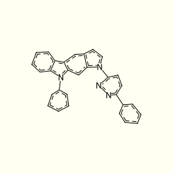 c1ccc(-c2ccc(-n3ccc4cc5c6ccccc6n(-c6ccccc6)c5cc43)nn2)cc1